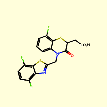 O=C(O)CC1Sc2c(F)cccc2N(Cc2nc3c(F)ccc(F)c3s2)C1=O